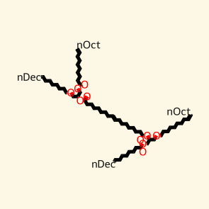 CCCCCCCC/C=C\CCCCCCCCOCC(COC(=O)CCCCCCCCCCCCCCCCC)OC(=O)CCCCCCCC=CCCCCCCCC(=O)OC(COCCCCCCCCCCCCCCCCCC)COC(=O)CCCCCCC/C=C/CCCCCCCC